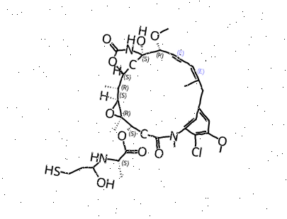 COc1cc2cc(c1Cl)N(C)C(=O)C[C@H](OC(=O)[C@H](C)NC(O)CCS)[C@@]1(C)O[C@H]1[C@H](C)[C@@H]1C[C@@](O)(NC(=O)O1)[C@H](OC)/C=C/C=C(\C)C2